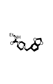 CCNC(=O)N1CCN(Cc2ccc3c(c2)OCO3)CC1